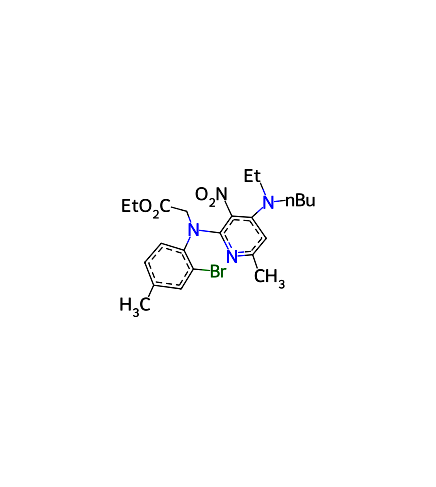 CCCCN(CC)c1cc(C)nc(N(CC(=O)OCC)c2ccc(C)cc2Br)c1[N+](=O)[O-]